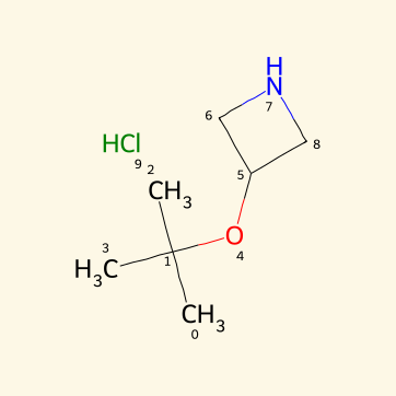 CC(C)(C)OC1CNC1.Cl